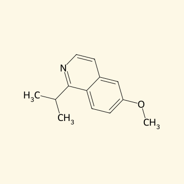 COc1ccc2c(C(C)C)nccc2c1